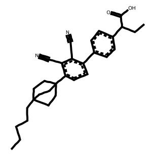 CCCCCC12CCC(c3ccc(-c4ccc(C(CC)C(=O)O)cc4)c(C#N)c3C#N)(CC1)CC2